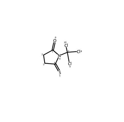 O=C1CCC(=S)N1C(Cl)(Cl)Cl